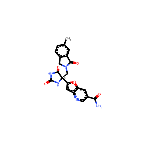 Cc1ccc2c(c1)C(=O)N(C[C@@]1(c3cc4ncc(C(N)=O)cc4o3)NC(=O)NC1=O)C2